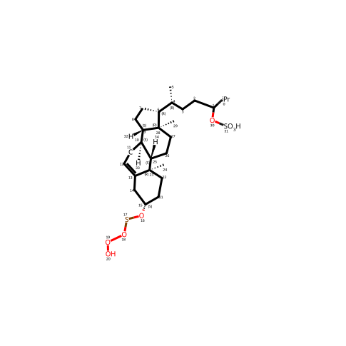 CC(C)C(CC[C@@H](C)[C@H]1CC[C@H]2[C@@H]3CC=C4C[C@@H](OSOOO)CC[C@]4(C)[C@H]3CC[C@]12C)OS(=O)(=O)O